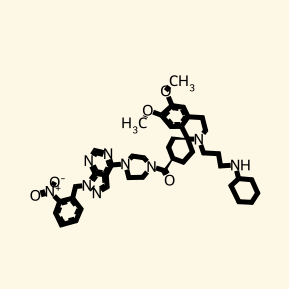 COc1cc2c(cc1OC)[C@]1(CC[C@H](C(=O)N3CCN(c4ncnc5c4cnn5Cc4ccccc4[N+](=O)[O-])CC3)CC1)N(CCCNC1CCCCC1)CC2